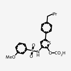 COc1cccc(S(=O)(=O)Nc2cc(-c3ccc(CC(C)C)cc3)sc2OC(=O)O)c1